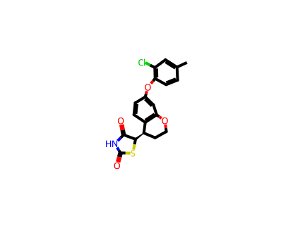 Cc1ccc(Oc2ccc3c(c2)OCC[C@H]3C2SC(=O)NC2=O)c(Cl)c1